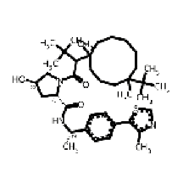 Cc1ncsc1-c1ccc([C@H](C)NC(=O)[C@@H]2C[C@@H](O)CN2C(=O)C(C(C)(C)C)C2(C)CCCCCC(C)(C(C)(C)C)CCC2)cc1